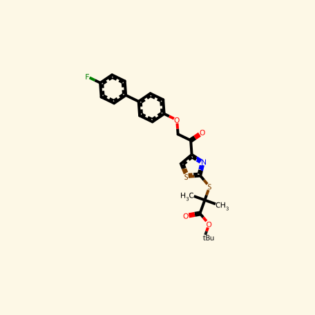 CC(C)(C)OC(=O)C(C)(C)Sc1nc(C(=O)COc2ccc(-c3ccc(F)cc3)cc2)cs1